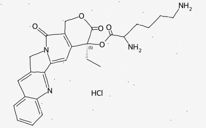 CC[C@@]1(OC(=O)C(N)CCCCN)C(=O)OCc2c1cc1n(c2=O)Cc2cc3ccccc3nc2-1.Cl